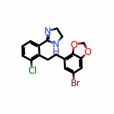 Clc1cccc(C2=NCCN2)c1CCc1cc(Br)cc2c1OCO2